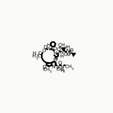 C=C[C@@H]1C[C@]1(NC(=O)[C@@H]1C[C@@H]2CN1C(=O)[C@H](C1CCCCC1)NC(=O)OCC(C)(C)CCCc1cc3c(cc(N(C)C(=O)NCC)nc3cc1OC)O2)C(=O)NS(=O)(=O)C1CC1